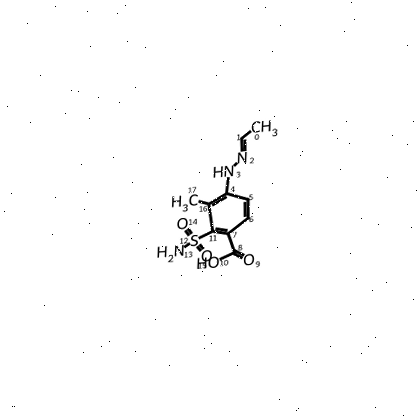 CC=NNc1ccc(C(=O)O)c(S(N)(=O)=O)c1C